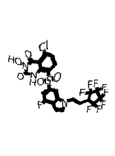 O=c1[nH]c2c(S(=O)(=O)c3cc(F)c4ccn(CCC5C(F)(F)C(F)(F)C(F)(F)C5(F)F)c4c3)ccc(Cl)c2c(=O)n1O